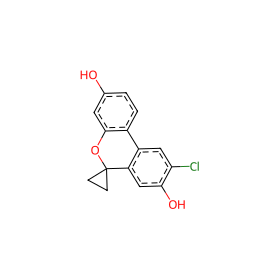 Oc1ccc2c(c1)OC1(CC1)c1cc(O)c(Cl)cc1-2